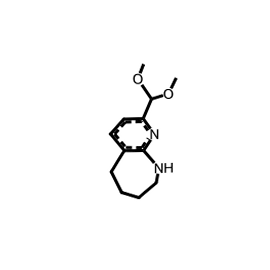 COC(OC)c1ccc2c(n1)NCCCC2